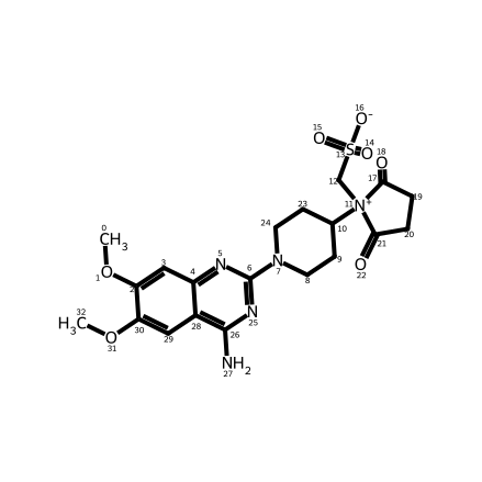 COc1cc2nc(N3CCC([N+]4(CS(=O)(=O)[O-])C(=O)CCC4=O)CC3)nc(N)c2cc1OC